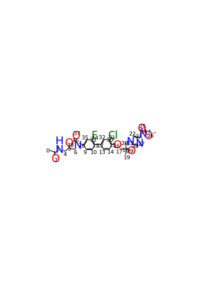 CC(=O)NCC1CN(c2ccc(-c3ccc(OCC4(C)Cn5cc([N+](=O)[O-])nc5O4)c(Cl)c3)c(F)c2)C(=O)O1